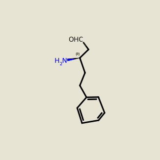 N[C@@H](CC=O)CCc1ccccc1